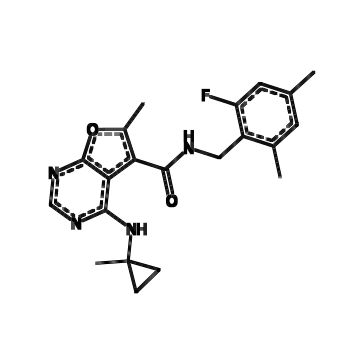 Cc1cc(C)c(CNC(=O)c2c(C)oc3ncnc(NC4(C)CC4)c23)c(F)c1